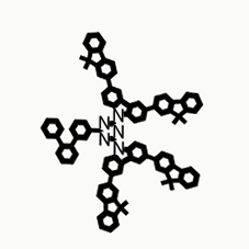 CC1(C)c2ccccc2-c2ccc(-c3ccc4c(c3)c3cc(-c5ccc6c(c5)C(C)(C)c5ccccc5-6)ccc3n4-c3nc(-c4cccc(-c5ccccc5-c5ccccc5)c4)nc(-n4c5ccc(-c6ccc7c(c6)C(C)(C)c6ccccc6-7)cc5c5cc(-c6ccc7c(c6)C(C)(C)c6ccccc6-7)ccc54)n3)cc21